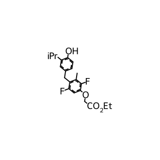 CCOC(=O)COc1cc(F)c(Cc2ccc(O)c(C(C)C)c2)c(C)c1F